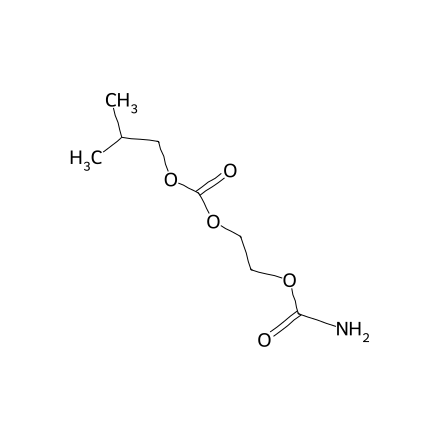 CC(C)COC(=O)OCCOC(N)=O